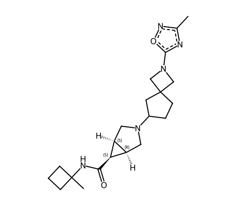 Cc1noc(N2CC3(CCC(N4C[C@@H]5[C@H](C4)[C@@H]5C(=O)NC4(C)CCC4)C3)C2)n1